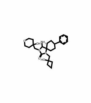 NC1N(CC2(O)CCOCC2)C(=O)N(CC2(O)CCC2)C12CCC(c1ccccc1)CC2